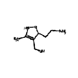 CC1=C(CS)N(CCN)ON1